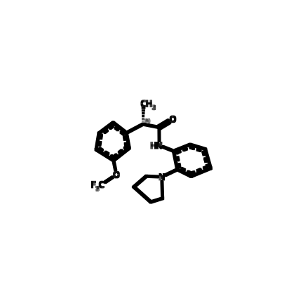 C[C@H](C(=O)Nc1ccccc1N1CCCC1)c1cccc(OC(F)(F)F)c1